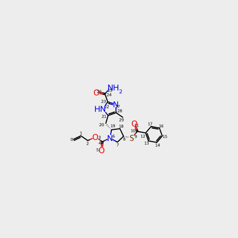 C=CCOC(=O)N1C[C@@H](SC(=O)c2ccccc2)C[C@H]1Cc1[nH]c(C(N)=O)nc1C